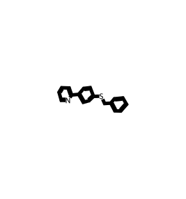 c1ccc(CSc2ccc(-c3ccccn3)cc2)cc1